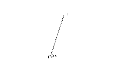 CCCCCCCCCCCCCCCCCCCCCCCCCCC1c2ccsc2-c2sccc21